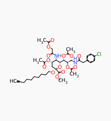 C#CCCCCCCCCO[C@]1(C(=O)OC)C[C@H](OC(C)=O)[C@@H](NC(=O)COC(C)=O)[C@H]([C@H](OC(C)=O)[C@@H](CNC(=O)Cc2ccc(Cl)cc2)OC(C)=O)O1